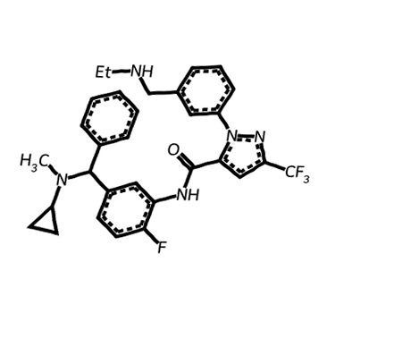 CCNCc1cccc(-n2nc(C(F)(F)F)cc2C(=O)Nc2cc(C(c3ccccc3)N(C)C3CC3)ccc2F)c1